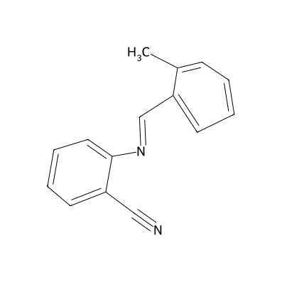 Cc1ccccc1C=Nc1ccccc1C#N